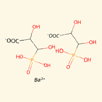 O=C([O-])C(O)C(O)P(=O)(O)O.O=C([O-])C(O)C(O)P(=O)(O)O.[Ba+2]